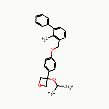 CC(OC1(c2ccc(OCc3cccc(-c4ccccc4)c3C(F)(F)F)cc2)COC1)C(=O)O